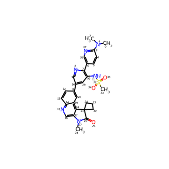 CN(C)c1ccc(-c2ncc(-c3ccc4ncc5c(c4c3)C3(CCC3)C(=O)N5C)cc2NS(C)(=O)=O)cn1